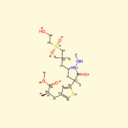 CNNC(=O)C(C)(CCCC(C)(C)CS(=O)(=O)CCO)c1cc(C[C@@H](C)C(=O)OC)cs1